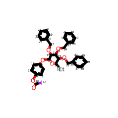 CCC1OC(Oc2ccc(OC(=O)I)cc2)C(OCc2ccccc2)C(OCc2ccccc2)C1OCc1ccccc1